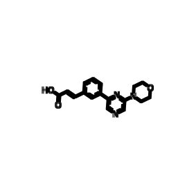 O=C(O)/C=C/c1cccc(-c2cncc(N3CCOCC3)n2)c1